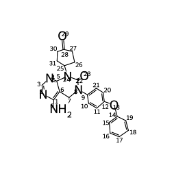 Nc1ncnc2c1CN(c1ccc(Oc3ccccc3)cc1)C(=O)N2C1CCC(=O)CC1